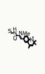 CN/C(=C\c1ccc2c(c1)C(C)=CC(C)(C)N2C)C(=O)NC=S